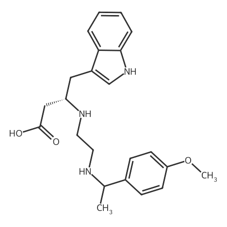 COc1ccc(C(C)NCCN[C@H](CC(=O)O)Cc2c[nH]c3ccccc23)cc1